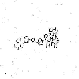 CSc1nnc(C(F)(F)F)n1NC(=O)c1ccc(COc2ccc(Cl)c(C)c2)o1